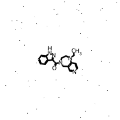 CCN1CCN(C(=O)c2n[nH]c3ccccc23)Cc2cnccc21